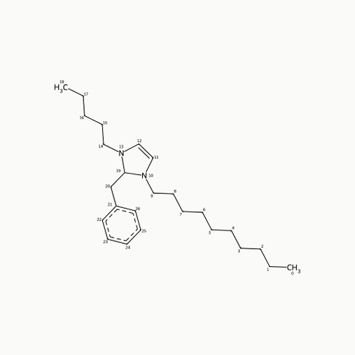 CCCCCCCCCCN1C=CN(CCCCC)C1Cc1ccccc1